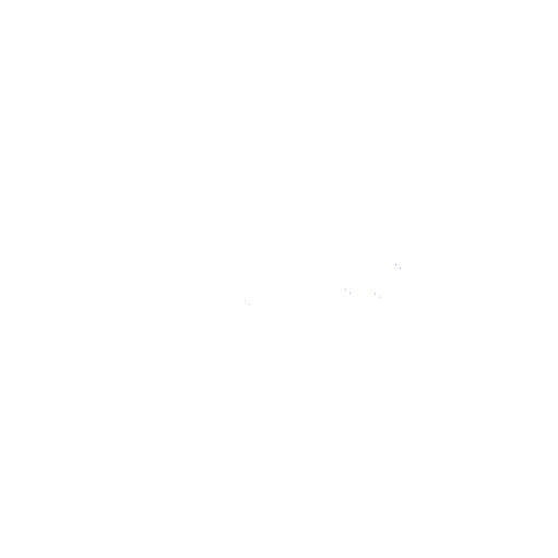 CCOC(=O)c1[nH]nnc1OC1CCN(c2cc(Cl)cc(Cl)c2)CC1